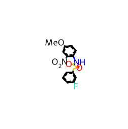 COc1ccc(NS(=O)(=O)c2cccc(F)c2)c([N+](=O)[O-])c1